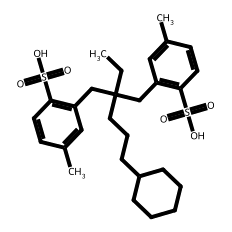 CCC(CCCC1CCCCC1)(Cc1cc(C)ccc1S(=O)(=O)O)Cc1cc(C)ccc1S(=O)(=O)O